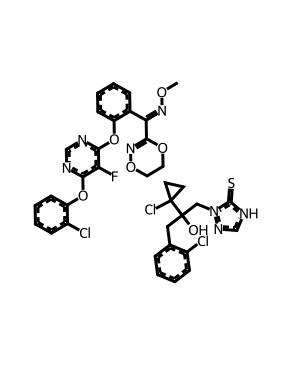 CO/N=C(/C1=NOCCO1)c1ccccc1Oc1ncnc(Oc2ccccc2Cl)c1F.OC(Cc1ccccc1Cl)(Cn1nc[nH]c1=S)C1(Cl)CC1